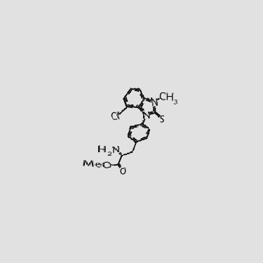 COC(=O)[C@@H](N)Cc1ccc(-n2c(=S)n(C)c3cccc(Cl)c32)cc1